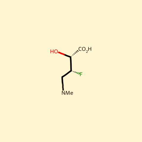 CNC[C@@H](F)[C@H](O)C(=O)O